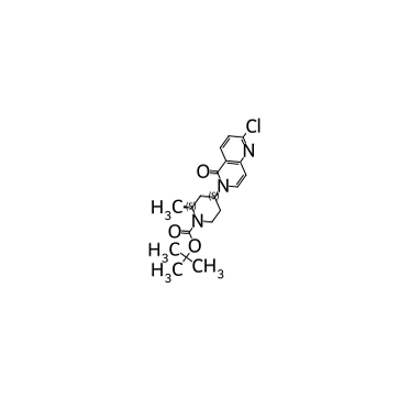 C[C@H]1C[C@@H](n2ccc3nc(Cl)ccc3c2=O)CCN1C(=O)OC(C)(C)C